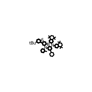 Cc1ccccc1N1c2cc3c(cc2B2c4cc5c(cc4N(c4ccc6c(c4)C(C)(C)CCC6(C)C)c4cc(C6CCCCC6)cc1c42)C(C)(C)CCC5(C)C)sc1ccc(C(C)(C)C)cc13